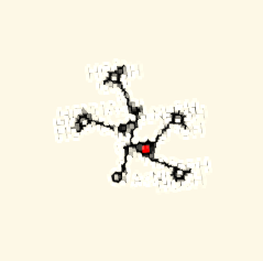 CC(=O)NC1C(OCCOCCn2cc(CN(CCCC[C@H](C(=O)NCCSSc3ccccn3)N(Cc3cn(CCOCCOC4OC(CO)C(O)C(O)C4NC(C)=O)nn3)Cc3cn(CCOCCOC4OC(CO)C(O)C(O)C4NC(C)=O)nn3)Cc3cn(CCOCCOC4OC(CO)C(O)C5I=C(C)NC45)nn3)nn2)OC(CO)C(O)C1O